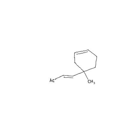 CC(=O)C=CC1(C)CC=CCC1